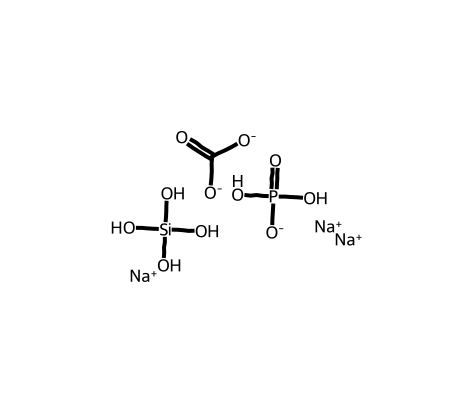 O=C([O-])[O-].O=P([O-])(O)O.O[Si](O)(O)O.[Na+].[Na+].[Na+]